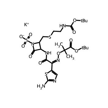 CC(C)(C)OC(=O)NCCSCC1C(NC(=O)/C(=N\OC(C)(C)C(=O)OC(C)(C)C)c2cnc(N)s2)C(=O)N1S(=O)(=O)[O-].[K+]